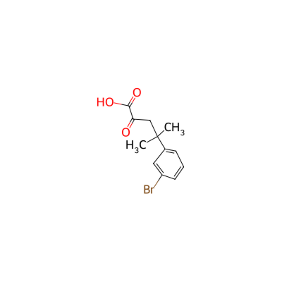 CC(C)(CC(=O)C(=O)O)c1cccc(Br)c1